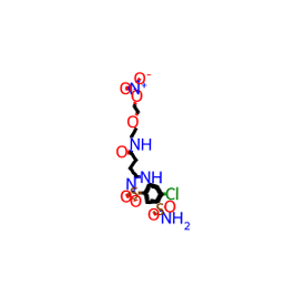 NS(=O)(=O)c1cc2c(cc1Cl)NC(CCC(=O)NCCOCCO[N+](=O)[O-])=NS2(=O)=O